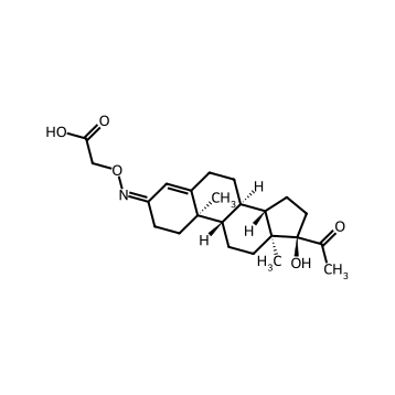 CC(=O)[C@@]1(O)CC[C@H]2[C@@H]3CCC4=CC(=NOCC(=O)O)CC[C@]4(C)[C@H]3CC[C@@]21C